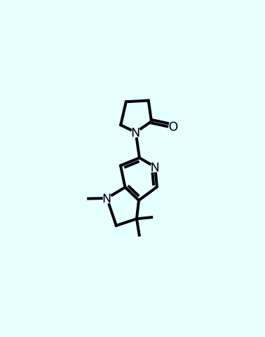 CN1CC(C)(C)c2cnc(N3CCCC3=O)cc21